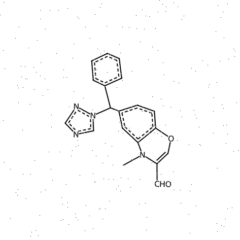 CN1C(C=O)=COc2ccc(C(c3ccccc3)n3cncn3)cc21